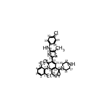 CCc1cccc(CC)c1-n1c(CC(C)C)c(C(=O)N2CCNCC2)cc(-c2nc(Nc3ccc(Cl)cc3)c(C)s2)c1=O